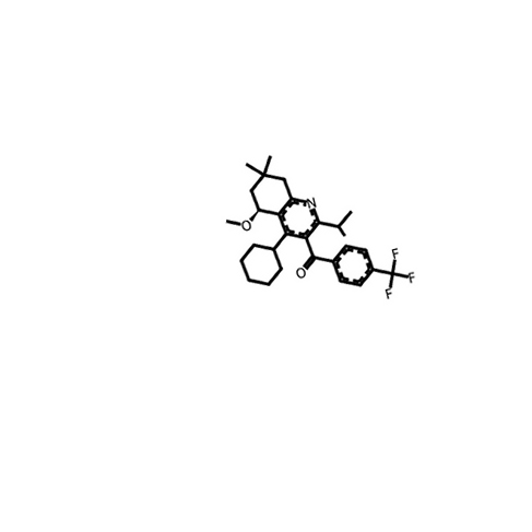 CO[C@H]1CC(C)(C)Cc2nc(C(C)C)c(C(=O)c3ccc(C(F)(F)F)cc3)c(C3CCCCC3)c21